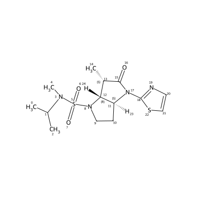 CC(C)N(C)S(=O)(=O)N1CC[C@H]2[C@H]1[C@H](C)C(=O)N2c1nccs1